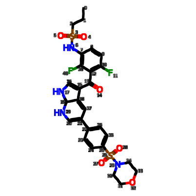 CCCS(=O)(=O)Nc1ccc(F)c(C(=O)C2=CNC3NC=C(c4ccc(S(=O)(=O)N5CCOCC5)cc4)C=C23)c1F